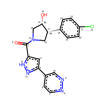 O=C(c1cc(-c2ccnnc2)n[nH]1)N1C[C@H](O)[C@H](c2ccc(Cl)cc2)C1